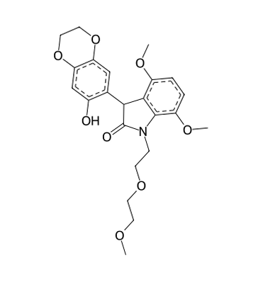 COCCOCCN1C(=O)C(c2cc3c(cc2O)OCCO3)c2c(OC)ccc(OC)c21